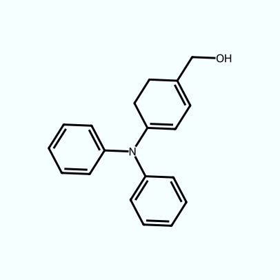 OCC1=CC=C(N(c2ccccc2)c2ccccc2)CC1